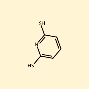 Sc1cccc(S)n1